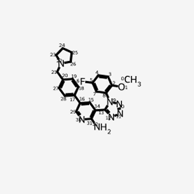 COc1ccc(F)cc1-n1nnnc1-c1cc(-c2ccc(CN3CCCC3)cc2)cnc1N